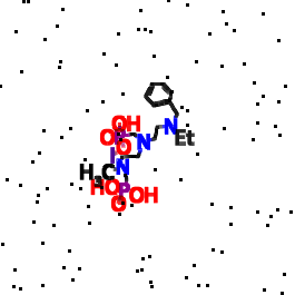 CCN(CCN(CCN(C)CP(=O)(O)O)CP(=O)(O)OI)Cc1ccccc1